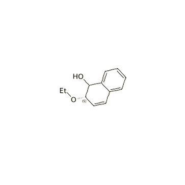 CCO[C@H]1C=Cc2ccccc2C1O